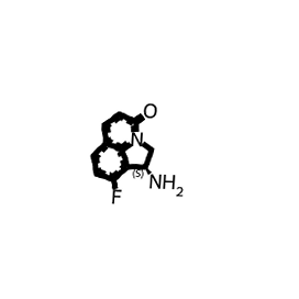 N[C@@H]1Cn2c(=O)ccc3ccc(F)c1c32